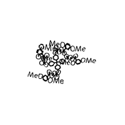 COc1ccc(OC)c(C(=O)OOC(=O)OC2CCC(C(C3CCC(OC(=O)OOC(=O)c4cc(OC)ccc4OC)CC3)(C3CCC(OC(=O)OOC(=O)c4cc(OC)ccc4OC)CC3)C3CCC(OC(=O)OOC(=O)c4cc(OC)ccc4OC)CC3)CC2)c1